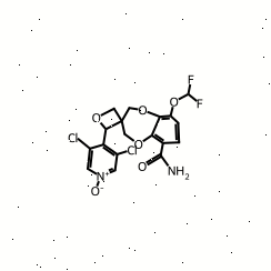 NC(=O)c1ccc(OC(F)F)c2c1OCC1(CO2)COC1c1c(Cl)c[n+]([O-])cc1Cl